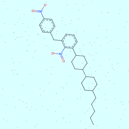 CCCCCC1CCC(C2CCC(c3cccc(Cc4ccc([N+](=O)[O-])cc4)c3[N+](=O)[O-])CC2)CC1